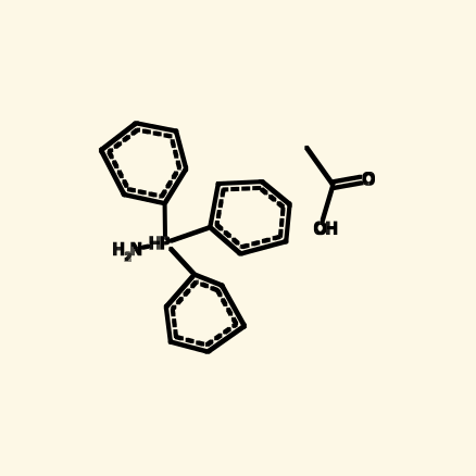 CC(=O)O.N[PH](c1ccccc1)(c1ccccc1)c1ccccc1